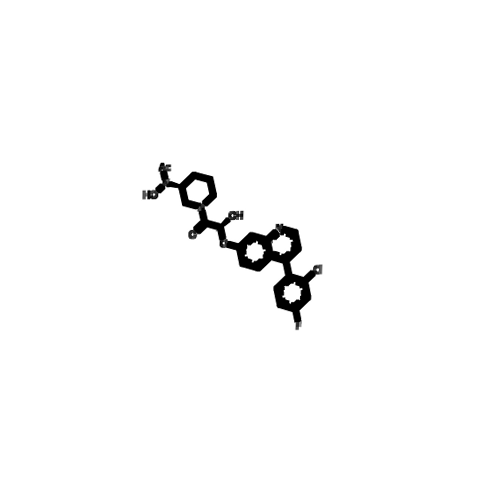 CC(=O)N(O)[C@H]1CCCN(C(=O)[C@@H](O)Oc2ccc3c(-c4ccc(F)cc4Cl)ccnc3c2)C1